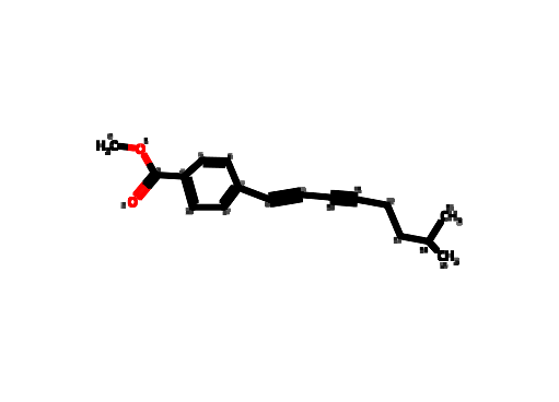 COC(=O)c1ccc(C#CC#CCCC(C)C)cc1